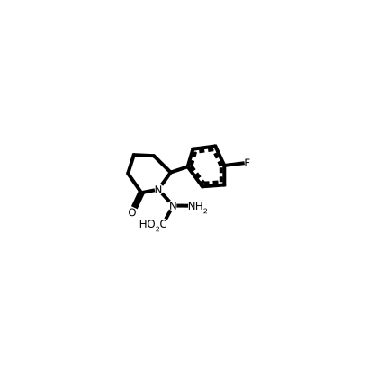 NN(C(=O)O)N1C(=O)CCCC1c1ccc(F)cc1